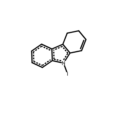 In1c2c(c3ccccc31)CCC=C2